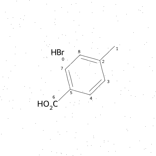 Br.Cc1ccc(C(=O)O)cc1